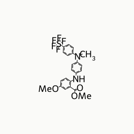 COC(=O)c1cc(OC)ccc1Nc1ccc(N(C)c2ccc(S(F)(F)(F)(F)F)cc2)cc1